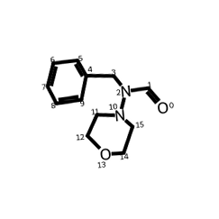 O=CN(Cc1ccccc1)N1CCOCC1